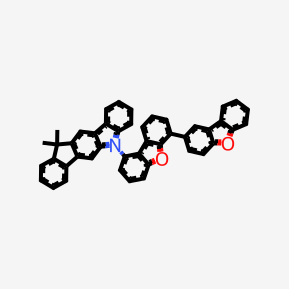 CC1(C)c2ccccc2-c2cc3c(cc21)c1ccccc1n3-c1cccc2oc3c(-c4ccc5oc6ccccc6c5c4)cccc3c12